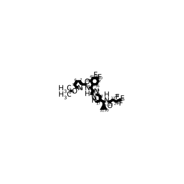 CC(C)Oc1cccc(C(=O)N[C@H](c2cn3ncc(C(NC(=O)CCC(F)(F)F)C4CC4)cc3n2)C2CCC(F)(F)CC2)n1